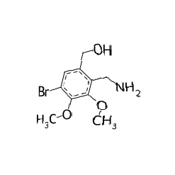 COc1c(Br)cc(CO)c(CN)c1OC